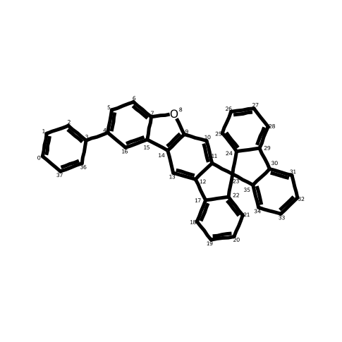 c1ccc(-c2ccc3oc4cc5c(cc4c3c2)-c2ccccc2C52c3ccccc3-c3ccccc32)cc1